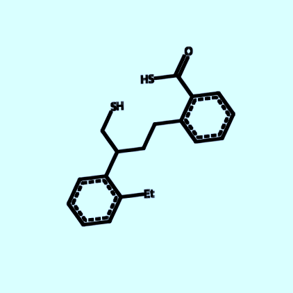 CCc1ccccc1C(CS)CCc1ccccc1C(=O)S